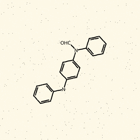 O=[C]N(c1ccccc1)c1ccc([N]c2ccccc2)cc1